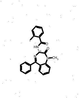 CN1C(=O)[C@@H](NC(=O)c2ccccc2I)N=C(c2ccccc2)c2ccccc21